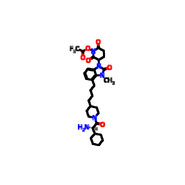 Cn1c(=O)n(C2CCC(=O)N(OC(=O)C(F)(F)F)C2=O)c2cccc(CCCCC3CCN(C(=O)[C@@H](N)C4CCCCC4)CC3)c21